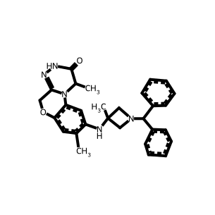 Cc1cc2c(cc1NC1(C)CN(C(c3ccccc3)c3ccccc3)C1)N1C(=NNC(=O)C1C)CO2